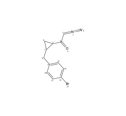 [N-]=[N+]=CC(=O)C1CC1Cc1ccc(Br)cc1